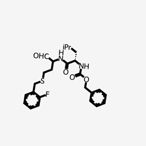 CC(C)C[C@H](NC(=O)OCc1ccccc1)C(=O)NC(C=O)CCSCc1ccccc1F